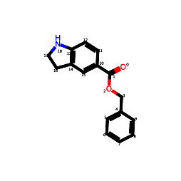 O=C(OCc1ccccc1)c1ccc2c(c1)CCN2